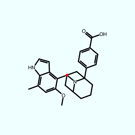 COc1cc(C)c2[nH]ccc2c1CN1C2CCCC1(c1ccc(C(=O)O)cc1)CCC2